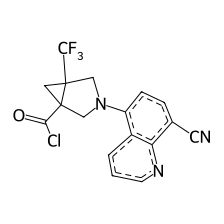 N#Cc1ccc(N2CC3(C(=O)Cl)CC3(C(F)(F)F)C2)c2cccnc12